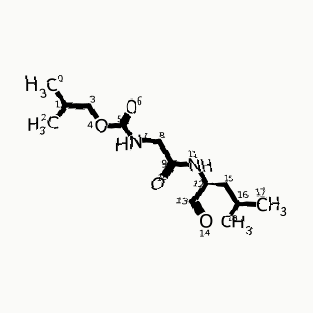 CC(C)COC(=O)NCC(=O)N[C@H](C=O)CC(C)C